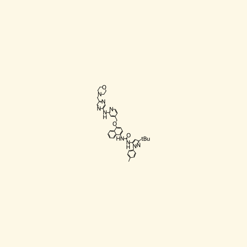 Cc1ccc(-n2nc(C(C)(C)C)cc2NC(=O)Nc2ccc(OCc3ccnc(Nc4cnc(CN5CCOCC5)cn4)c3)c3ccccc23)cc1